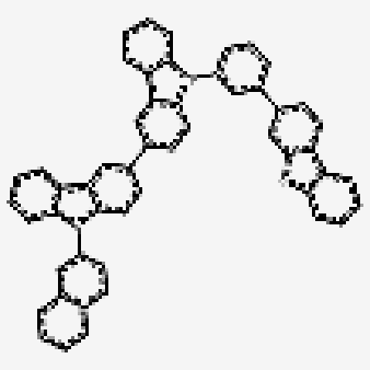 c1cc(-c2ccc3c(c2)oc2ccccc23)cc(-n2c3ccccc3c3cc(-c4ccc5c(c4)c4ccccc4n5-c4ccc5ccccc5c4)ccc32)c1